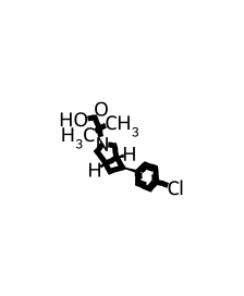 CC(C)(C(=O)O)N1C[C@H]2C[C@H](c3ccc(Cl)cc3)[C@H]2C1